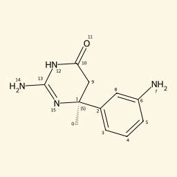 C[C@@]1(c2cccc(N)c2)CC(=O)NC(N)=N1